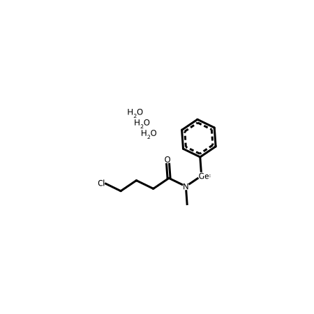 C[N]([Ge][c]1ccccc1)C(=O)CCCCl.O.O.O